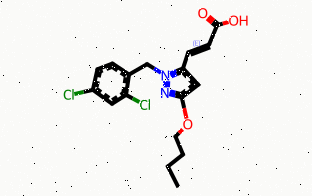 CCCCOc1cc(/C=C/C(=O)O)n(Cc2ccc(Cl)cc2Cl)n1